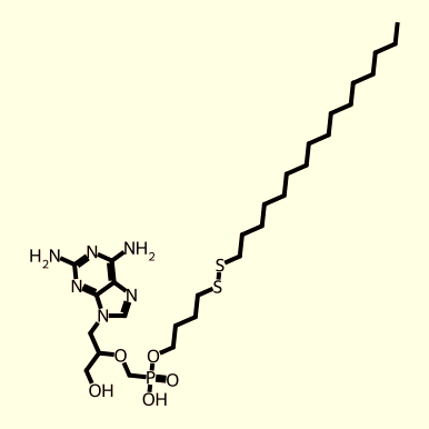 CCCCCCCCCCCCCCCCSSCCCCOP(=O)(O)COC(CO)Cn1cnc2c(N)nc(N)nc21